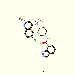 CN(c1cc(C(F)(F)F)nc2ccc(Cl)cc12)[C@H]1CC[C@@H](NC(=O)c2cccc3cn[nH]c23)CC1